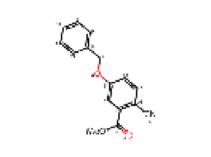 COC(=O)c1cc(OCc2ccccc2)ccc1C#N